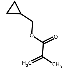 C=C(C)C(=O)OCC1CC1